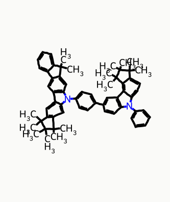 CC1(C)c2ccccc2-c2cc3c4cc5c(cc4n(-c4ccc(-c6ccc7c(c6)c6c8c(ccc6n7-c6ccccc6)C(C)(C)C(C)(C)C8(C)C)cc4)c3cc21)C(C)(C)C(C)(C)C5(C)C